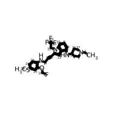 CCN1CCC(Nc2cccc3c2cc(C#CCNc2ccc(SC)cc2OCF)n3CC(F)(F)F)CC1